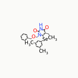 CCc1c([Se]c2cc(C)cc(C)c2)n(COCc2ccccc2)c(=O)[nH]c1=O